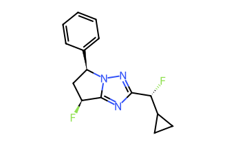 F[C@H]1C[C@@H](c2ccccc2)n2nc([C@H](F)C3CC3)nc21